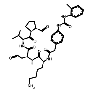 Cc1ccccc1NC(=O)Nc1ccc(CC(=O)N[C@@H](CCCCN)C(=O)N[C@@H](CC=O)C(=O)N[C@H](C(=O)N2CCC[C@H]2C=O)C(C)C)cc1